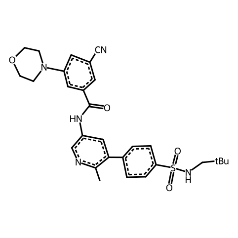 Cc1ncc(NC(=O)c2cc(C#N)cc(N3CCOCC3)c2)cc1-c1ccc(S(=O)(=O)NCC(C)(C)C)cc1